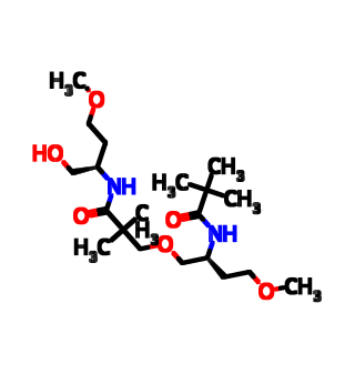 COCC[C@@H](COCC(C)(C)C(=O)N[C@@H](CO)CCOC)NC(=O)C(C)(C)C